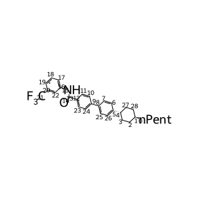 CCCCC[C@H]1CC[C@H](c2ccc(-c3ccc(C(=O)Nc4cc[c]c(C(F)(F)F)c4)cc3)cc2)CC1